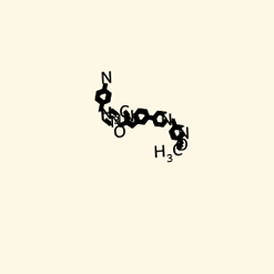 COc1ccc(CN2CCC(c3ccc4c(c3)cc(C(=O)N3CCN(Cc5ccc(C#N)cc5)CC3)n4C)CC2)cn1